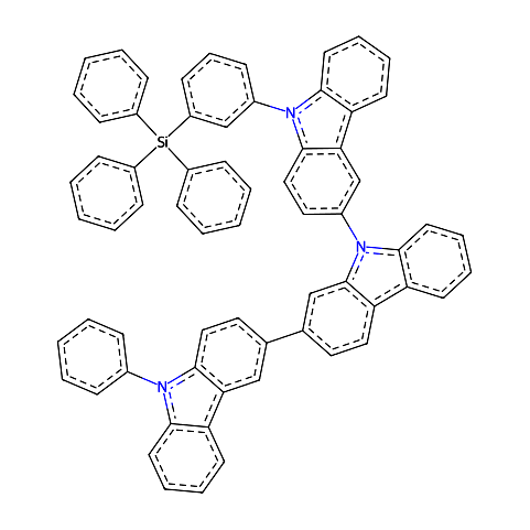 c1ccc(-n2c3ccccc3c3cc(-c4ccc5c6ccccc6n(-c6ccc7c(c6)c6ccccc6n7-c6cccc([Si](c7ccccc7)(c7ccccc7)c7ccccc7)c6)c5c4)ccc32)cc1